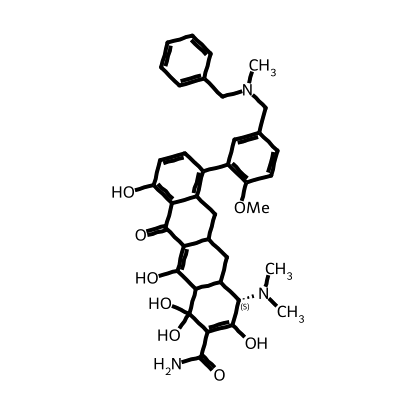 COc1ccc(CN(C)Cc2ccccc2)cc1-c1ccc(O)c2c1CC1CC3C(C(O)=C1C2=O)C(O)(O)C(C(N)=O)=C(O)[C@H]3N(C)C